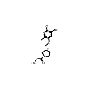 CC(C)(C)OC(=O)N1CC[C@@H](COc2cc(Br)c(Cl)nc2I)C1